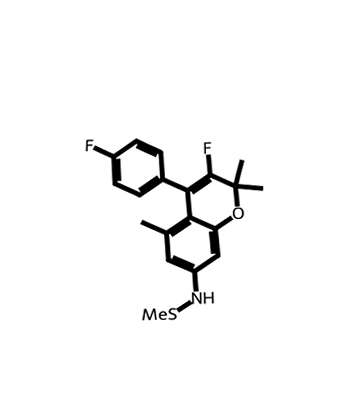 CSNc1cc(C)c2c(c1)OC(C)(C)C(F)=C2c1ccc(F)cc1